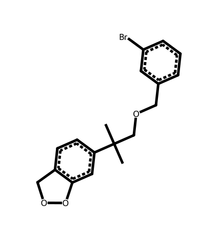 CC(C)(COCc1cccc(Br)c1)c1ccc2c(c1)OOC2